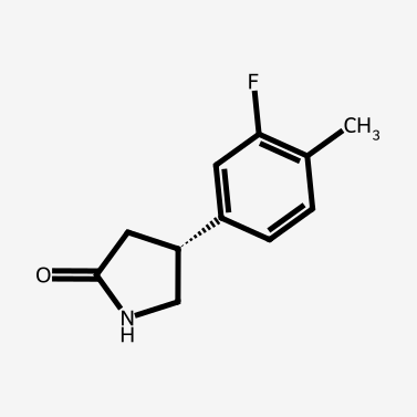 Cc1ccc([C@@H]2CNC(=O)C2)cc1F